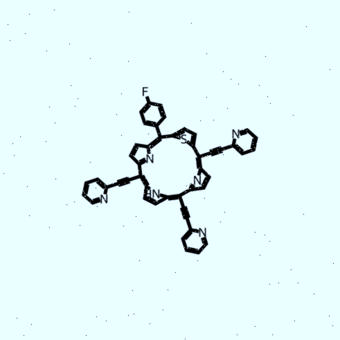 Fc1ccc(-c2c3nc(c(C#Cc4ccccn4)c4ccc([nH]4)c(C#Cc4ccccn4)c4nc(c(C#Cc5ccccn5)c5ccc2s5)C=C4)C=C3)cc1